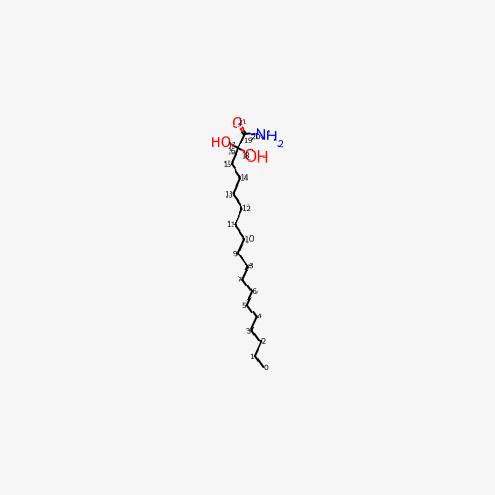 CCCCCCCCCCCCCCCCC(O)(O)C(N)=O